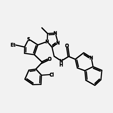 CCc1cc(C(=O)c2ccccc2Cl)c(-n2c(C)nnc2CNC(=O)c2cnc3ccccc3c2)s1